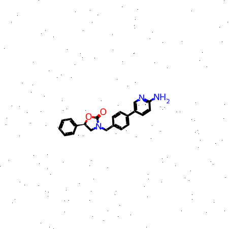 Nc1ccc(-c2ccc(CN3C[C@@H](c4ccccc4)OC3=O)cc2)cn1